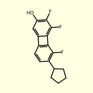 Oc1cc2c(c(F)c1F)-c1c-2ccc(C2CCCC2)c1F